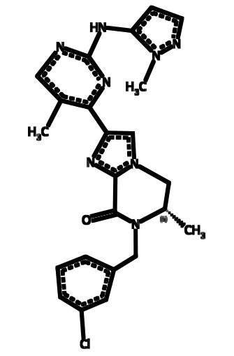 Cc1cnc(Nc2ccnn2C)nc1-c1cn2c(n1)C(=O)N(Cc1cccc(Cl)c1)[C@@H](C)C2